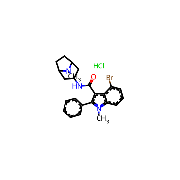 CN1C2CCC1CC(NC(=O)c1c(-c3ccccc3)n(C)c3cccc(Br)c13)C2.Cl